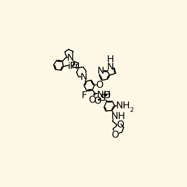 CC(C)c1ccccc1C1CCCN1C1CC2(CCN(c3cc(F)c(C(=O)NS(=O)(=O)c4ccc(NCC5COCCO5)c(N)c4)c(Oc4cnc5[nH]ccc5c4)c3)CC2)C1